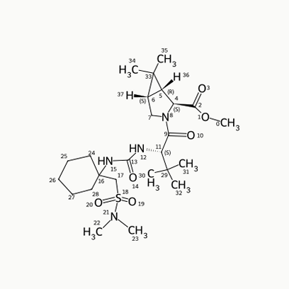 COC(=O)[C@@H]1[C@@H]2[C@H](CN1C(=O)[C@@H](NC(=O)NC1(CS(=O)(=O)N(C)C)CCCCC1)C(C)(C)C)C2(C)C